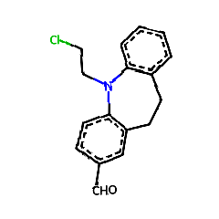 O=Cc1ccc2c(c1)CCc1ccccc1N2CCCl